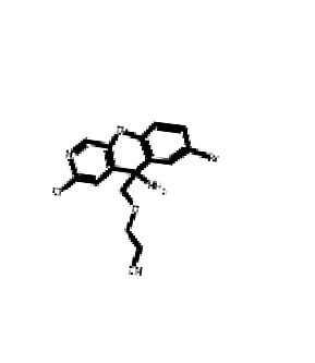 N#CCCOCC1(N)c2cc(Br)ccc2Oc2cnc(Cl)cc21